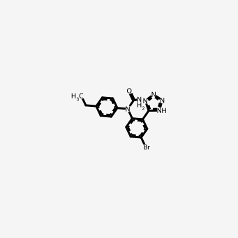 CCc1ccc(N(C(N)=O)c2ccc(Br)cc2-c2nnn[nH]2)cc1